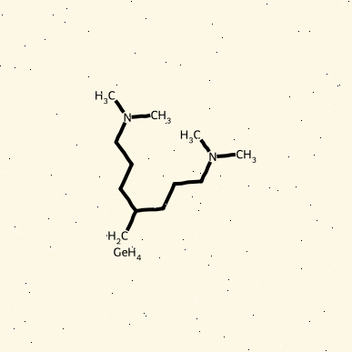 [CH2]C(CCCN(C)C)CCCN(C)C.[GeH4]